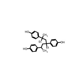 CCC(C)(CC(CC)(CC(C)c1ccc(O)cc1)c1ccc(O)cc1)c1ccc(O)cc1